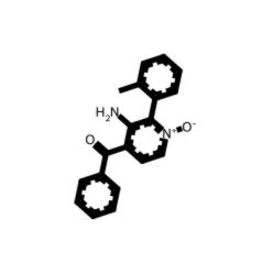 Cc1ccccc1-c1c(N)c(C(=O)c2ccccc2)cc[n+]1[O-]